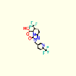 O=C(O)C1C(C(F)(F)F)CCc2nn(Cc3ccc(C(F)(F)F)nc3)c(=O)n21